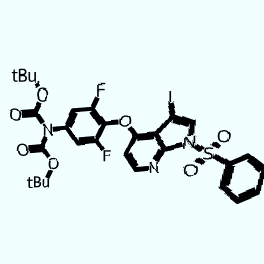 CC(C)(C)OC(=O)N(C(=O)OC(C)(C)C)c1cc(F)c(Oc2ccnc3c2c(I)cn3S(=O)(=O)c2ccccc2)c(F)c1